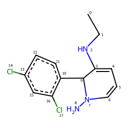 CCNC1=CC=CN(N)C1c1ccc(Cl)cc1Cl